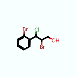 OCC(Br)C(Cl)c1ccccc1Br